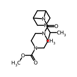 COC(=O)N1CCN(C(=O)N2C3CC2CN(C(C)C)C3)CC1